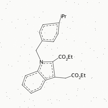 CCOC(=O)Cc1c(C(=O)OCC)n(Cc2ccc(C(C)C)cc2)c2ccccc12